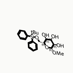 CO[C@@H]1O[C@H](CO[Si](c2ccccc2)(c2ccccc2)C(C)(C)C)[C@@H](O)[C@H](O)[C@H]1O